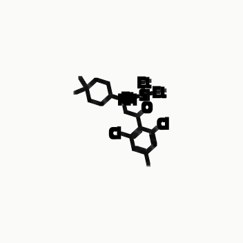 CC[Si](CC)(CC)OC(CNC1CCC(C)(C)CC1)c1c(Cl)cc(C)cc1Cl